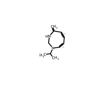 C=C1/C=C\C=C/N(C(C)C)CN1